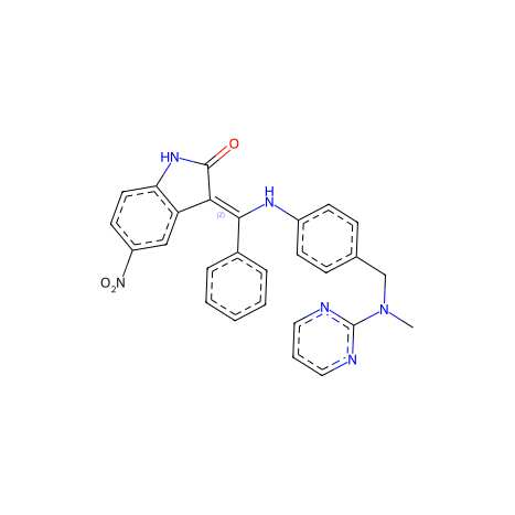 CN(Cc1ccc(N/C(=C2\C(=O)Nc3ccc([N+](=O)[O-])cc32)c2ccccc2)cc1)c1ncccn1